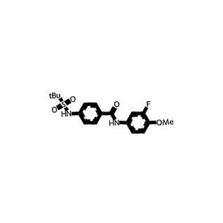 COc1ccc(NC(=O)c2ccc(NS(=O)(=O)C(C)(C)C)cc2)cc1F